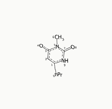 CCCc1cc(=O)n(C)c(=O)[nH]1